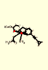 CO[C@H]1CC[C@]2(CC1)Cc1ccc(C#CC3CC3)cc1C21N=C(N)N(CC(N)=O)C1=O